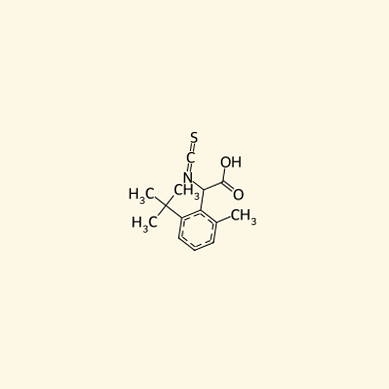 Cc1cccc(C(C)(C)C)c1C(N=C=S)C(=O)O